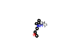 CC1(C)c2ccccc2-c2cccc(Nc3ccc(-c4ccc5oc6ccccc6c5c4)cc3)c21